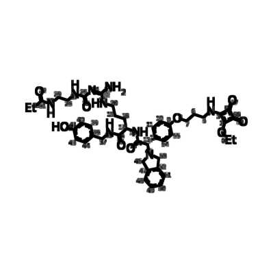 CCOc1c(NCCCOc2ccc([C@@H](C(=O)N[C@H](CCCN/C(N)=N\C(=O)NCCNC(=O)CC)C(=O)NCc3ccc(O)cc3)N3Cc4ccccc4C3)cc2)c(=O)c1=O